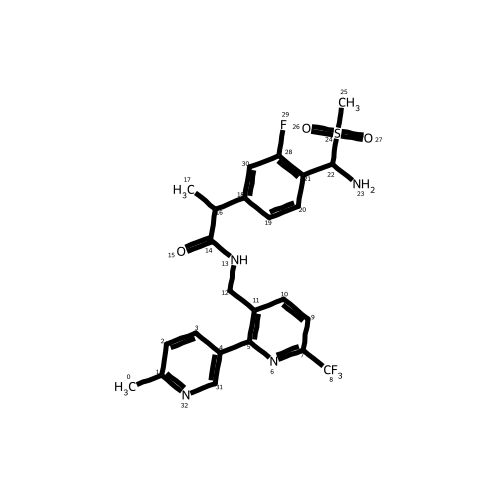 Cc1ccc(-c2nc(C(F)(F)F)ccc2CNC(=O)C(C)c2ccc(C(N)S(C)(=O)=O)c(F)c2)cn1